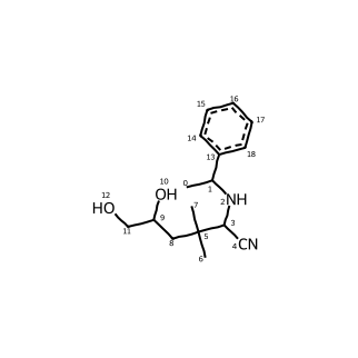 CC(NC(C#N)C(C)(C)CC(O)CO)c1ccccc1